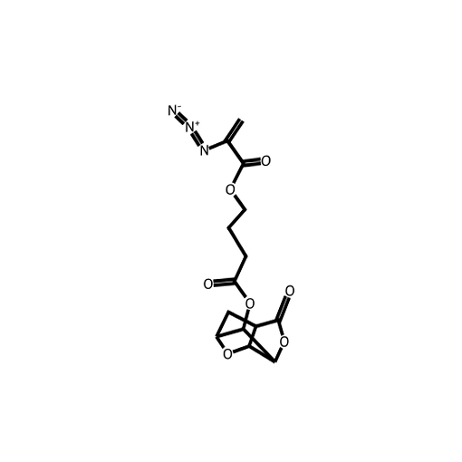 C=C(N=[N+]=[N-])C(=O)OCCCC(=O)OC1C2CC3C(=O)OC1C3O2